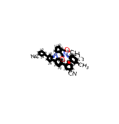 Cc1cc(C)c(N2C(=O)c3cccc(-n4c5cc(-c6cccc(C#N)c6)ccc5c5ccc(-c6cccc(C#N)c6)cc54)c3C2=O)c(C)c1